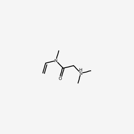 C=CN(C)C(=O)C[SiH](C)C